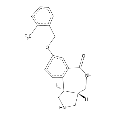 O=C1NC[C@@H]2CNC[C@H]2c2ccc(OCc3ccccc3C(F)(F)F)cc21